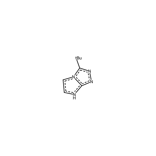 CC(C)(C)c1nnc2[nH]ccn12